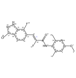 COc1cc(C)c(NC(=O)/C(F)=C/c2ccc3c(Cl)n[nH]c3c2F)c(C)n1